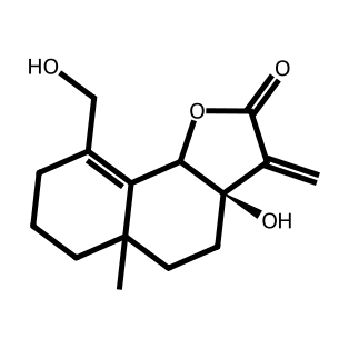 C=C1C(=O)OC2C3=C(CO)CCCC3(C)CC[C@@]12O